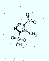 Cn1c([N+](=O)[O-])cnc1S(C)(=O)=O